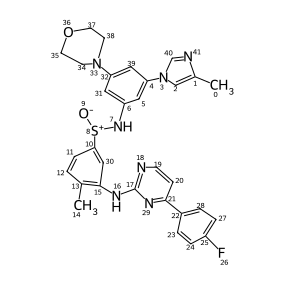 Cc1cn(-c2cc(N[S+]([O-])c3ccc(C)c(Nc4nccc(-c5ccc(F)cc5)n4)c3)cc(N3CCOCC3)c2)cn1